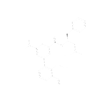 COc1c(C=O)cccc1-c1cc(C(=O)N[C@@H](Cc2ccccc2)CN(C)C)cc(N(C)C)c1